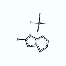 F[B-](F)(F)F.Fc1cc2ccccc2s1